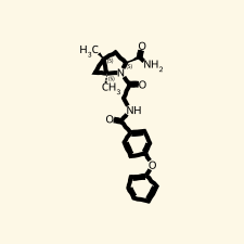 C[C@@]12C[C@@H](C(N)=O)N(C(=O)CNC(=O)c3ccc(Oc4ccccc4)cc3)[C@@]1(C)C2